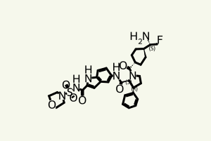 N[C@H](CF)[C@H]1CC[C@H](C(=O)N2CC[C@H](c3ccccc3)[C@H]2C(=O)Nc2ccc3[nH]c(C(=O)NS(=O)(=O)N4CCOCC4)cc3c2)CC1